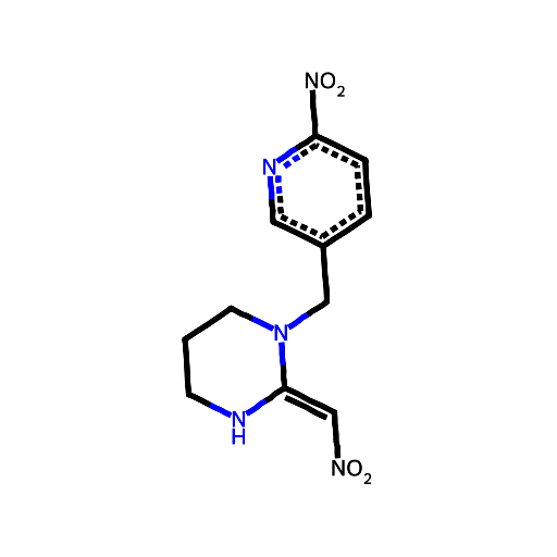 O=[N+]([O-])C=C1NCCCN1Cc1ccc([N+](=O)[O-])nc1